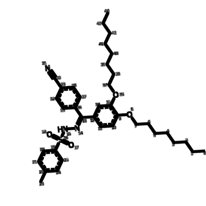 CCCCCCCCOc1ccc(C(=NNS(=O)(=O)c2ccc(C)cc2)c2ccc(C#N)cc2)cc1OCCCCCCCC